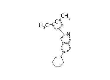 Cc1cc(C)cc(-c2cc3cc(C4CCCCC4)ccc3cn2)c1